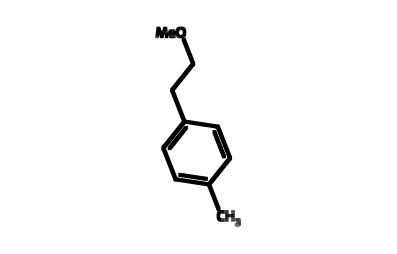 [CH2-][OH+]CCc1ccc(C)cc1